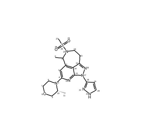 CC1c2cc(N3CCOC[C@H]3C)nc3c2c(nn3-c2cc[nH]n2)CCN1S(C)(=O)=O